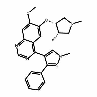 COc1cc2ncnc(-c3cn(C)nc3-c3ccccc3)c2cc1O[C@@H]1CN(C)C[C@@H]1F